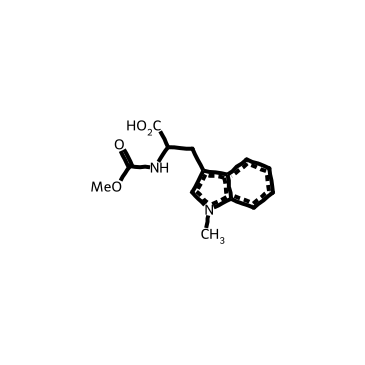 COC(=O)NC(Cc1cn(C)c2ccccc12)C(=O)O